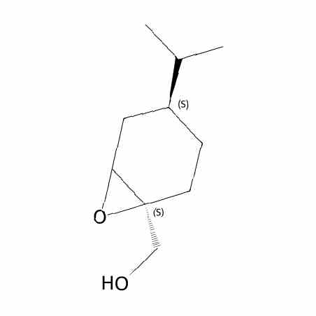 CC(C)[C@H]1CC[C@@]2(CO)OC2C1